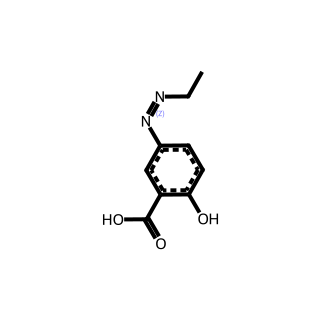 CC/N=N\c1ccc(O)c(C(=O)O)c1